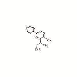 CCC(C)[C@H](NC(=O)c1ccccn1)C(=O)O